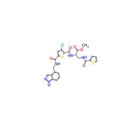 COC(=O)C(CNC(=O)c1cccs1)NC(=O)c1sc(C(=O)NCc2cccc3[nH]ncc23)cc1Cl